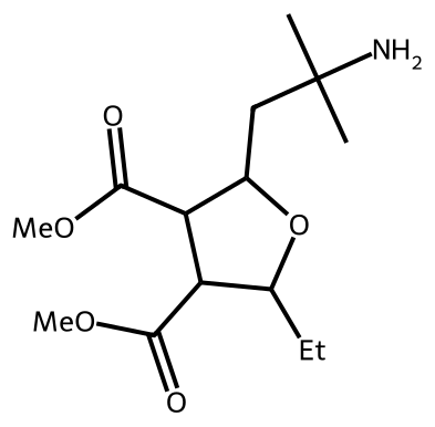 CCC1OC(CC(C)(C)N)C(C(=O)OC)C1C(=O)OC